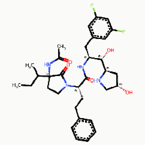 CCC(C)[C@@]1(NC(C)=O)CCN([C@@H](CCc2ccccc2)C(=O)N[C@@H](Cc2cc(F)cc(F)c2)[C@H](O)[C@H]2C[C@H](O)CN2)C1=O